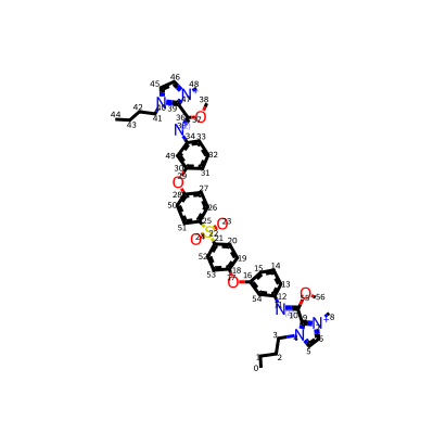 CCCCn1cc[n+](C)c1/C(=N/c1cccc(Oc2ccc(S(=O)(=O)c3ccc(Oc4cccc(/N=C(\OC)c5n(CCCC)cc[n+]5C)c4)cc3)cc2)c1)OC